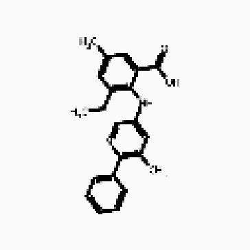 CCc1cc(C)cc(C(=O)O)c1Nc1cnc(-c2ccccc2)c(C)c1